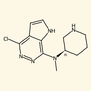 CN(c1nnc(Cl)c2cc[nH]c12)[C@@H]1CCCNC1